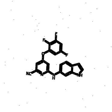 N#Cc1cc(Oc2cc(F)cc(F)c2F)cc(Nc2ccc3cc[nH]c3c2)n1